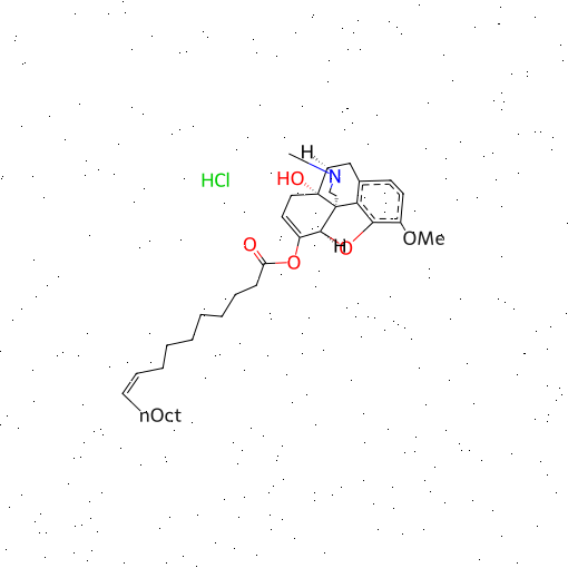 CCCCCCCC/C=C\CCCCCCCC(=O)OC1=CC[C@@]2(O)[C@H]3Cc4ccc(OC)c5c4[C@@]2(CCN3C)[C@H]1O5.Cl